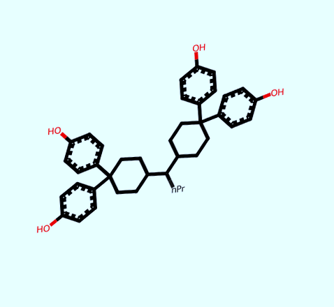 CCCC(C1CCC(c2ccc(O)cc2)(c2ccc(O)cc2)CC1)C1CCC(c2ccc(O)cc2)(c2ccc(O)cc2)CC1